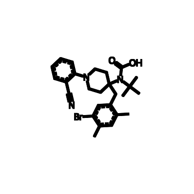 Cc1cc(C)c(CC2(N(C(=O)O)C(C)(C)C)CCN(c3ccccc3C#N)CC2)cc1Br